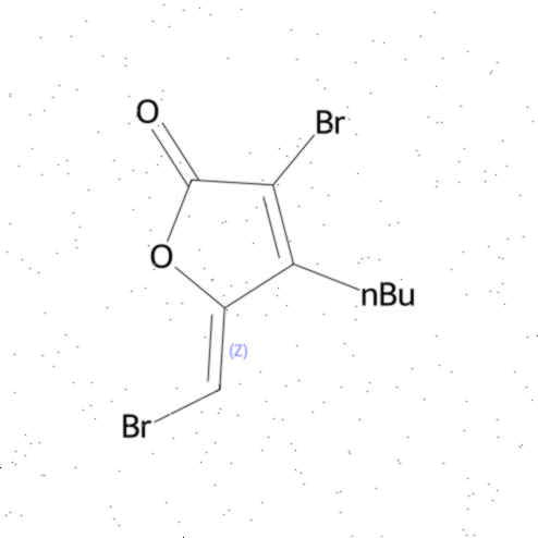 CCCCC1=C(Br)C(=O)O/C1=C\Br